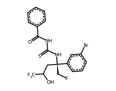 O=C(NC(=S)N[C@@](CF)(CC(O)C(F)(F)F)c1cccc(Br)c1)c1ccccc1